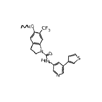 COc1cc2c(cc1C(F)(F)F)N(C(=O)Nc1cncc(-c3ccsc3)c1)CC2